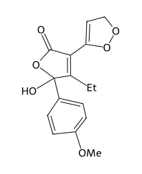 CCC1=C(C2=CCOO2)C(=O)OC1(O)c1ccc(OC)cc1